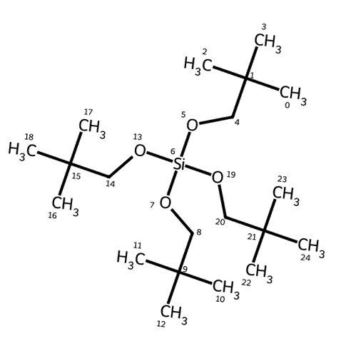 CC(C)(C)CO[Si](OCC(C)(C)C)(OCC(C)(C)C)OCC(C)(C)C